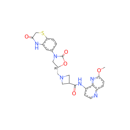 COc1ccc2nccc(NC(=O)C3CN(C[C@@H]4CN(c5ccc6c(c5)NC(=O)CS6)C(=O)O4)C3)c2n1